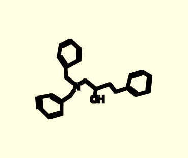 OC(CCc1ccccc1)CN(Cc1cc#ccc1)Cc1ccccc1